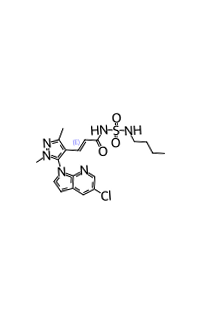 CCCCNS(=O)(=O)NC(=O)/C=C/c1c(C)nn(C)c1-n1ccc2cc(Cl)cnc21